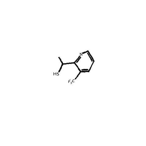 CC(S)c1ncccc1C(F)(F)F